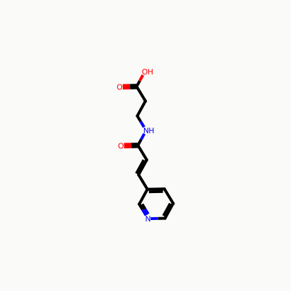 O=C(O)CCNC(=O)C=Cc1cccnc1